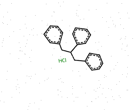 Cl.c1ccc(CC(Cc2ccccc2)c2ccccc2)cc1